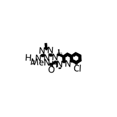 CNC(=O)CN(C)c1nc2c(Cl)cccc2cc1[C@H](C)Nc1nc(C)nc(N)n1